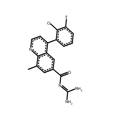 Cc1cc(C(=O)N=C(N)N)cc2c(-c3cccc(F)c3Cl)ccnc12